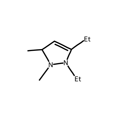 CCC1=CC(C)N(C)N1CC